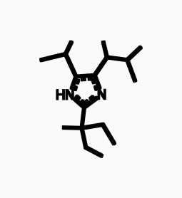 CCC(C)(CC)c1nc(C(C)C(C)C)c(C(C)C)[nH]1